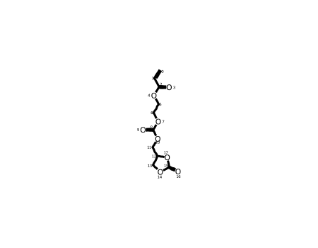 C=CC(=O)OCCOC(=O)OCC1COC(=O)O1